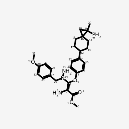 COC(=O)/C(N)=C(\Oc1ccc(C2CCC3(CC2)CC3(C)P)cc1)N(N)Cc1ccc(OC)cc1